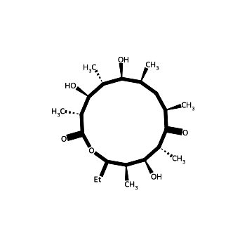 CCC1OC(=O)[C@H](C)[C@@H](O)[C@H](C)[C@@H](O)[C@@H](C)C[C@@H](C)C(=O)[C@H](C)[C@@H](O)[C@H]1C